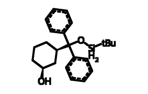 CC(C)(C)[SiH2]OC(c1ccccc1)(c1ccccc1)[C@@H]1CCC[C@H](O)C1